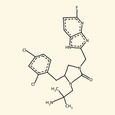 CC(C)(N)CN1C(=O)N(Cc2nc3nc(F)ccc3[nH]2)CC1Cc1ccc(Cl)cc1Cl